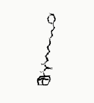 O=C(NCCCCCOCCCN1CCOCC1)NC12CC3CC(CC(C3)C1)C2